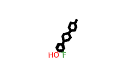 CC1CCC(C2CCC(c3ccc(O)c(F)c3)CC2)CC1